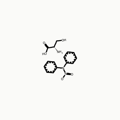 N[C@@H](CO)C(=O)O.O=[N+]([O-])N(c1ccccc1)c1ccccc1